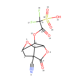 N#CC12CC3OC1C(OC2=O)C3OC(=O)C(F)(F)S(=O)(=O)O